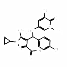 Cc1c(C(Nc2cc(Cl)c(=O)n(C)c2)c2ccc(Cl)cc2)c(C(=O)O)nn1C1CC1